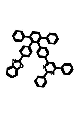 c1ccc(-c2cc(-c3ccc(-c4c(-c5ccccc5)ccc(-c5ccccc5)c4-c4ccc(-c5nc6ccccc6o5)cc4)cc3)nc(-c3ccccc3)n2)cc1